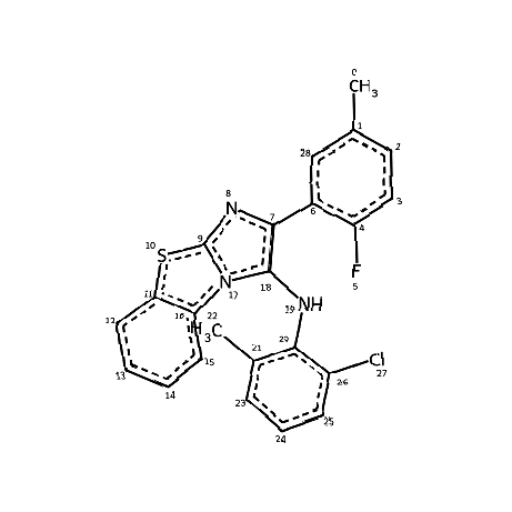 Cc1ccc(F)c(-c2nc3sc4ccccc4n3c2Nc2c(C)cccc2Cl)c1